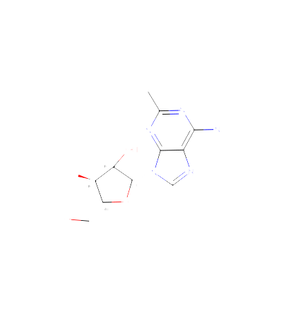 Cc1nc(N)c2ncn([C@@H]3O[C@H](CO)[C@@H](O)[C@@]3(C)O)c2n1